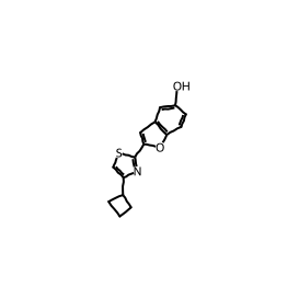 Oc1ccc2oc(-c3nc(C4CCC4)cs3)cc2c1